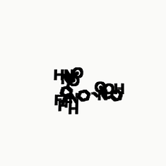 O=C(O)N(CC[C@H]1CC[C@H](Nc2cc(-c3n[nH]c(=O)o3)ccc2C(F)(F)F)CC1)Cc1ccccc1